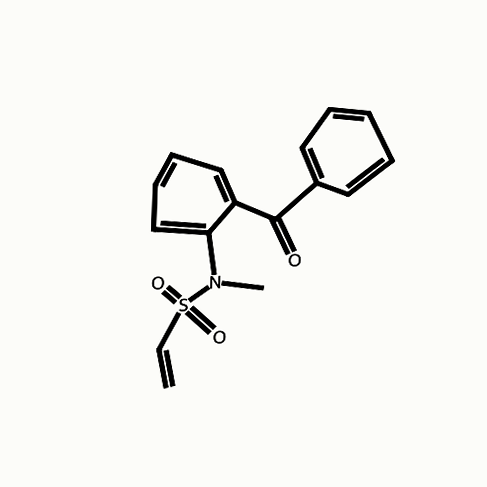 C=CS(=O)(=O)N(C)c1ccccc1C(=O)c1ccccc1